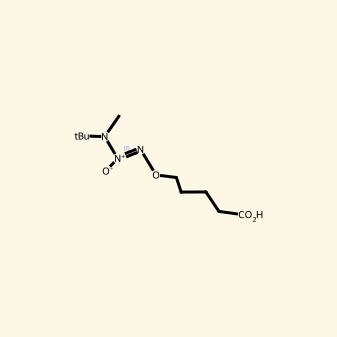 CN(/[N+]([O-])=N/OCCCCC(=O)O)C(C)(C)C